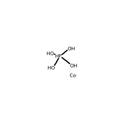 O[PH](O)(O)O.[Co]